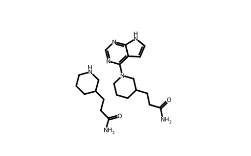 NC(=O)CCC1CCCN(c2ncnc3[nH]ccc23)C1.NC(=O)CCC1CCCNC1